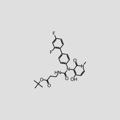 Cn1ccc(O)c(N(C(=O)NCCC(=O)OC(C)(C)C)c2ccc(-c3ccc(F)cc3F)cc2)c1=O